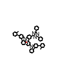 Cc1ccccc1-c1ccc2c(c1)c1ccccc1n2-c1ccnc(-c2cc(-c3nc(-c4ccccc4)nc(-c4ccccc4)n3)ccc2-n2c3ccccc3c3cc(-c4ccccc4C)ccc32)c1